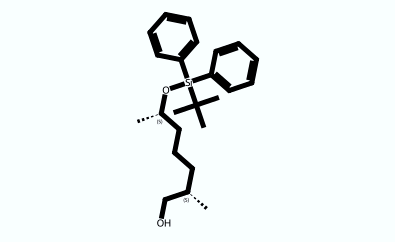 C[C@H](CO)CCC[C@H](C)O[Si](c1ccccc1)(c1ccccc1)C(C)(C)C